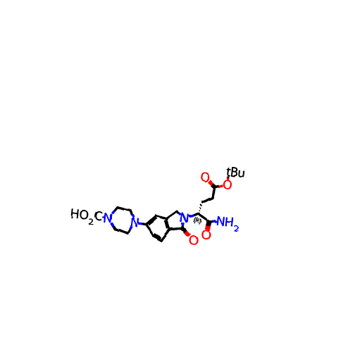 CC(C)(C)OC(=O)CC[C@H](C(N)=O)N1Cc2cc(N3CCN(C(=O)O)CC3)ccc2C1=O